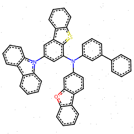 c1ccc(-c2cccc(N(c3ccc4c(c3)oc3ccccc34)c3cc(-n4c5ccccc5c5ccccc54)cc4c3sc3ccccc34)c2)cc1